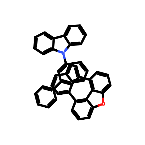 c1ccc(-c2cc(-c3cccc4oc5cccc(-c6cccc7ccccc67)c5c34)cc(-n3c4ccccc4c4ccccc43)c2)cc1